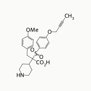 CC#CCOc1ccc(S(=O)(=O)C(Cc2ccc(OC)cc2)(C(=O)O)C2CCNCC2)cc1